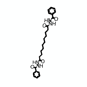 O=C(CCCCCCCCCCC(=O)NNC(=O)c1ccccc1)NNC(=O)c1ccccc1